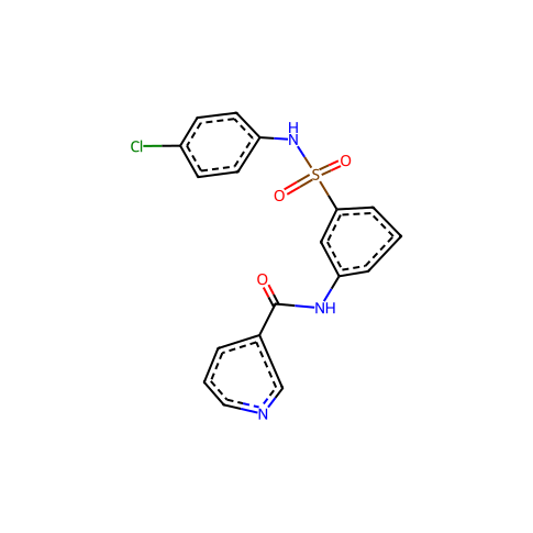 O=C(Nc1cccc(S(=O)(=O)Nc2ccc(Cl)cc2)c1)c1cccnc1